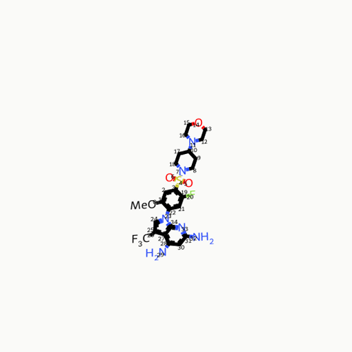 COc1cc(S(=O)(=O)N2CCC(N3CCOCC3)CC2)c(F)cc1-n1cc(C(F)(F)F)c2c(N)cc(N)nc21